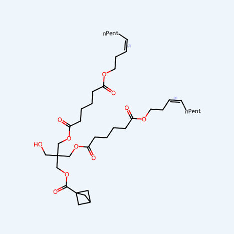 CCCCC/C=C\CCOC(=O)CCCCC(=O)OCC(CO)(COC(=O)CCCCC(=O)OCC/C=C\CCCCC)COC(=O)C12CC(C1)C2